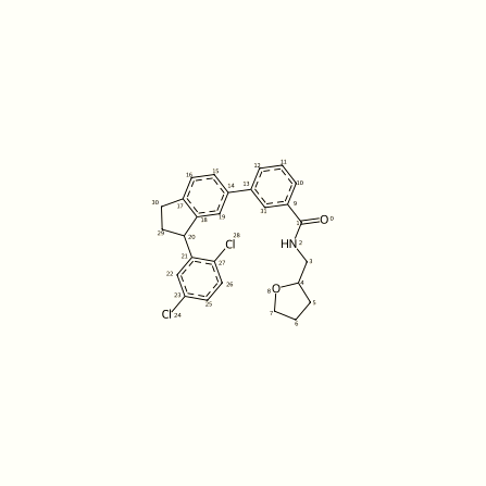 O=C(NCC1CCCO1)c1cccc(-c2ccc3c(c2)C(c2cc(Cl)ccc2Cl)CC3)c1